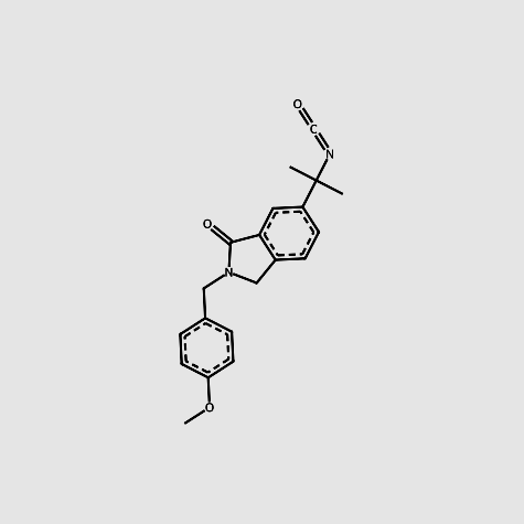 COc1ccc(CN2Cc3ccc(C(C)(C)N=C=O)cc3C2=O)cc1